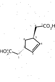 O=C(O)C[C@H]1C=C[C@H](CC(=O)O)C1